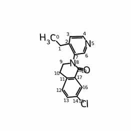 CCc1ccncc1N1CCc2ccc(Cl)cc2C1=O